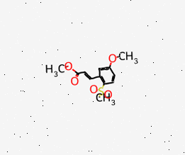 COC(=O)/C=C/c1cc(OC)ccc1S(C)(=O)=O